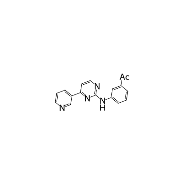 CC(=O)c1cccc(Nc2nccc(-c3cccnc3)n2)c1